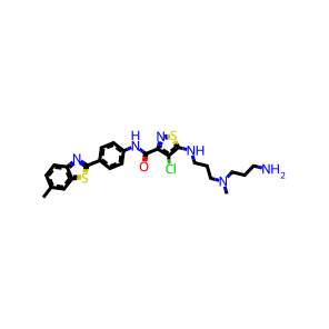 Cc1ccc2nc(-c3ccc(NC(=O)c4nsc(NCCCN(C)CCCN)c4Cl)cc3)sc2c1